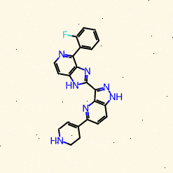 Fc1ccccc1-c1nccc2[nH]c(-c3n[nH]c4ccc(C5=CCNCC5)nc34)nc12